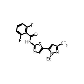 CCn1nc(C(F)(F)F)cc1-c1cnc(NC(=O)c2c(F)cccc2F)s1